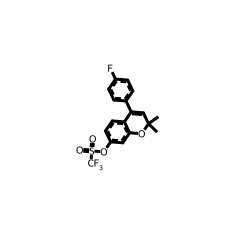 CC1(C)C=C(c2ccc(F)cc2)c2ccc(OS(=O)(=O)C(F)(F)F)cc2O1